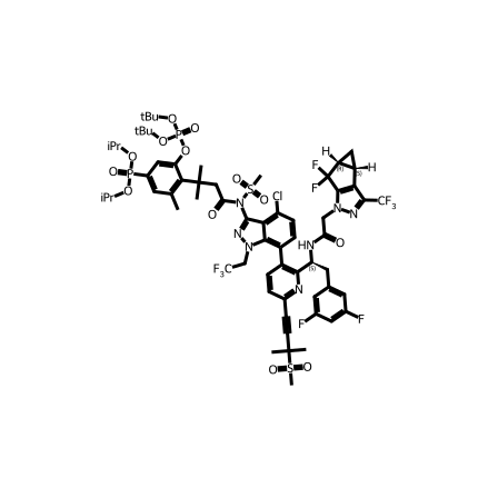 Cc1cc(P(=O)(OC(C)C)OC(C)C)cc(OP(=O)(OC(C)(C)C)OC(C)(C)C)c1C(C)(C)CC(=O)N(c1nn(CC(F)(F)F)c2c(-c3ccc(C#CC(C)(C)S(C)(=O)=O)nc3[C@H](Cc3cc(F)cc(F)c3)NC(=O)Cn3nc(C(F)(F)F)c4c3C(F)(F)[C@@H]3C[C@H]43)ccc(Cl)c12)S(C)(=O)=O